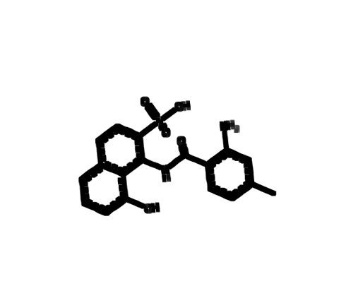 Cc1ccc(C(=O)Nc2c(S(=O)(=O)O)ccc3cccc(O)c23)c(N)c1